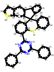 c1ccc(-c2nc(-c3ccccc3)nc(-c3cccc4c3Sc3ccccc3C43c4ccccc4-c4cc5ccsc5cc43)n2)cc1